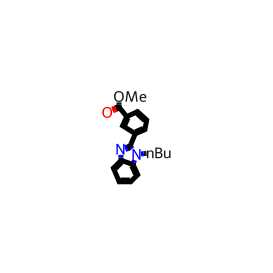 CCCCn1c(-c2cccc(C(=O)OC)c2)nc2ccccc21